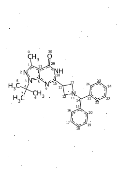 Cc1nn(C(C)(C)C)c2nc(C3CN(C(c4ccccc4)c4ccccc4)C3)[nH]c(=O)c12